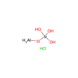 Cl.O[Si](O)(O)[O][AlH2]